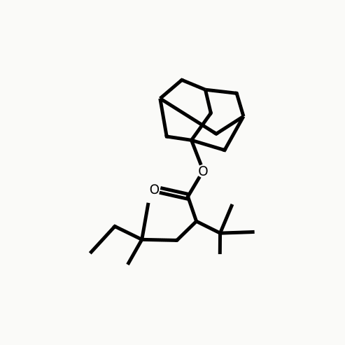 CCC(C)(C)CC(C(=O)OC12CC3CC(CC(C3)C1)C2)C(C)(C)C